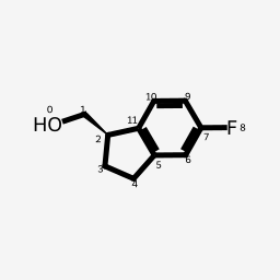 OC[C@@H]1CCc2cc(F)ccc21